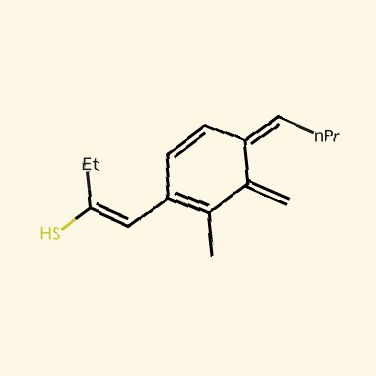 C=c1c(C)c(/C=C(/S)CC)cc/c1=C/CCC